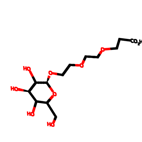 O=C(O)CCOCCOCCO[C@@H]1OC(CO)C(O)[C@@H](O)C1O